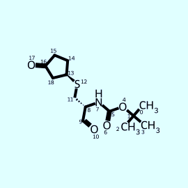 CC(C)(C)OC(=O)N[C@H](C=O)CS[C@@H]1CCC(=O)C1